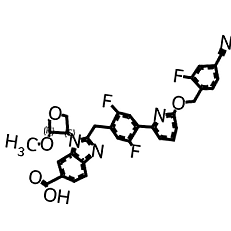 CO[C@H]1COC[C@@H]1n1c(Cc2cc(F)c(-c3cccc(OCc4ccc(C#N)cc4F)n3)cc2F)nc2ccc(C(=O)O)cc21